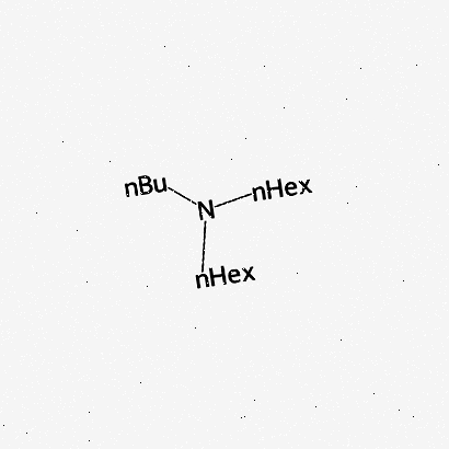 CCCCCCN(CCCC)CCCCCC